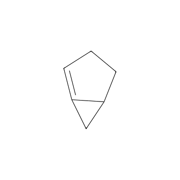 C1=C2CC2CC1